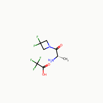 C[C@H](N)C(=O)N1CC(F)(F)C1.O=C(O)C(F)(F)F